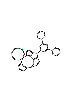 C1=C/C=C\CC2(c3cccc(c3)C3C=Cc4c(c5c2cccc5n4-c2cc(-c4ccccc4)nc(C4C=CC=CC4)n2)C3)c2ccccc2C=1